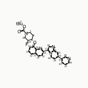 CC(C)(C)OC(=O)N1CC[C@H](Oc2cccc3ccc(-c4cnc5cc(-c6cccnc6)ccn45)nc23)[C@@H](F)C1